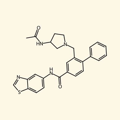 CC(=O)NC1CCN(Cc2cc(C(=O)Nc3ccc4scnc4c3)ccc2-c2ccccc2)C1